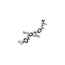 C=C(C)C(=O)OCCN(C)c1ccc(/N=N/c2cc(OC)c(/N=N/c3ccc([N+](=O)[O-])cc3)cc2OC)cc1